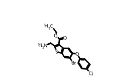 CCOC(=O)c1c(CN)sc2cc(Br)c(Oc3ccc(Cl)cc3)cc12